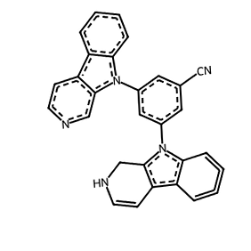 N#Cc1cc(-n2c3c(c4c2CNC=C4)C=C=C=C3)cc(-n2c3ccccc3c3ccncc32)c1